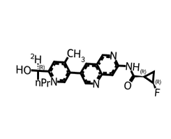 [2H][C@@](O)(CCC)c1cc(C)c(-c2cnc3cc(NC(=O)[C@H]4C[C@H]4F)ncc3c2)cn1